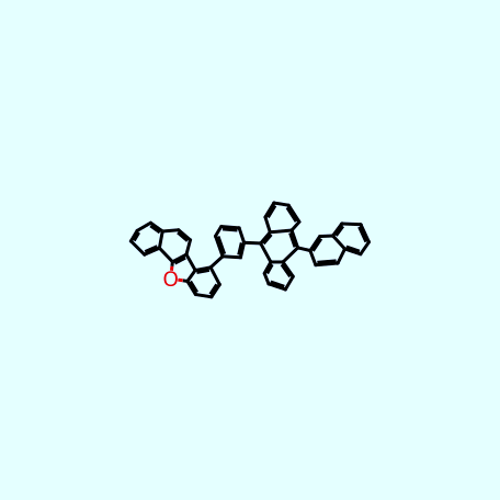 c1cc(-c2c3ccccc3c(-c3ccc4ccccc4c3)c3ccccc23)cc(-c2cccc3oc4c5ccccc5ccc4c23)c1